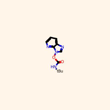 CC(C)(C)NC(=O)On1cnc2cccnc21